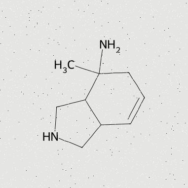 CC1(N)CC=CC2CNCC21